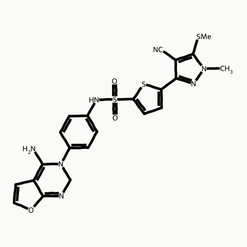 CSc1c(C#N)c(-c2ccc(S(=O)(=O)Nc3ccc(N4CN=c5occc5=C4N)cc3)s2)nn1C